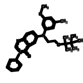 COc1cc(C)cc(N(CCO[Si](C)(C)C(C)(C)C)c2ccc3ncn(-c4ccccc4)c(=O)c3c2)c1